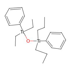 CC[CH2][Ti]([CH2]CC)([O][Ti]([CH2]C)([CH2]C)[c]1ccccc1)[c]1ccccc1